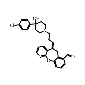 O=Cc1cccc2c1C/C(=C/CCN1CCC(O)(c3ccc(Cl)cc3)CC1)c1cccnc1O2